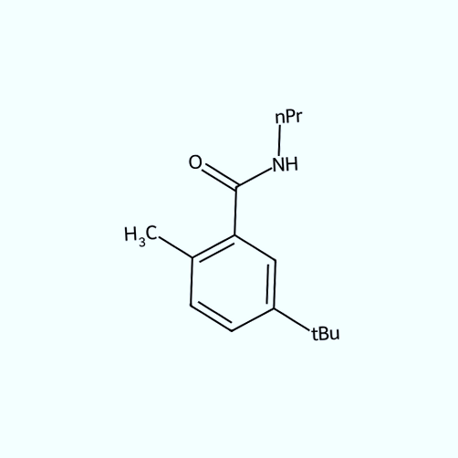 CCCNC(=O)c1cc(C(C)(C)C)ccc1C